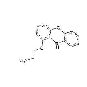 NCCOc1cccc2c1Nc1ccccc1O2